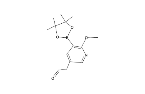 COc1ncc(CC=O)cc1B1OC(C)(C)C(C)(C)O1